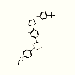 CCS(=O)(=O)c1ccc([C@H](CO)NC(=O)c2ccc(N3CC[C@H](Oc4ccc(C(F)(F)F)cc4)C3)c(F)c2)cc1